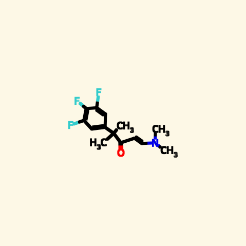 CN(C)/C=C/C(=O)C(C)(C)c1cc(F)c(F)c(F)c1